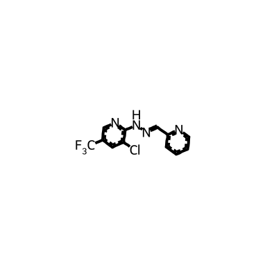 FC(F)(F)c1cnc(NN=Cc2ccccn2)c(Cl)c1